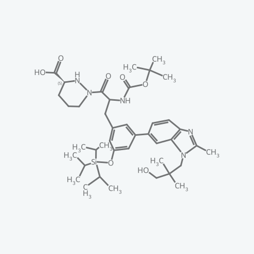 Cc1nc2ccc(-c3cc(CC(NC(=O)OC(C)(C)C)C(=O)N4CCC[C@@H](C(=O)O)N4)cc(O[Si](C(C)C)(C(C)C)C(C)C)c3)cc2n1CC(C)(C)CO